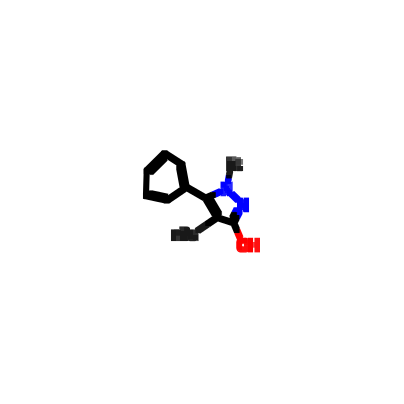 CCCCc1c(O)nn(CC)c1-c1ccccc1